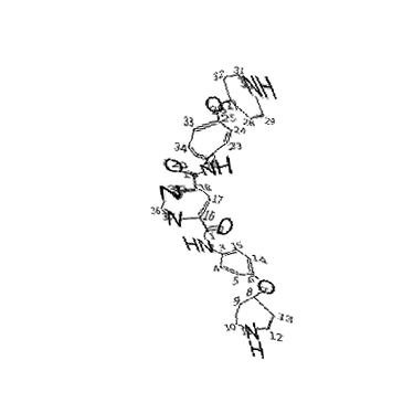 O=C(Nc1ccc(OC2CCNCC2)cc1)c1cc(C(=O)Nc2ccc(OC3CCNCC3)cc2)ncn1